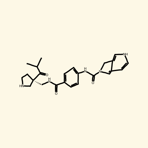 CC(C)C(=O)[C@]1(CNC(=O)c2ccc(NC(=O)N3C=C4C=CNC=C4C3)cc2)CCNC1